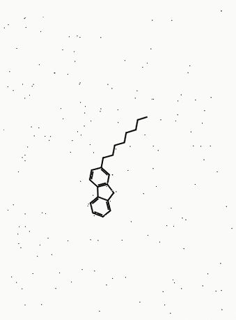 CCCCCCCCc1[c]c2c(cc1)-c1ccccc1C2